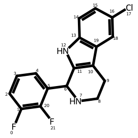 Fc1cccc(C2NCCc3c2[nH]c2ccc(Cl)cc32)c1F